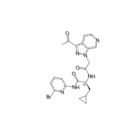 CC(=O)c1nn(CC(=O)N[C@@H](CC2CC2)C(=O)Nc2cccc(Br)n2)c2cnccc12